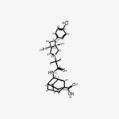 CC(C)(C(=S)NC1C2CC3CC1CC(C(=O)O)(C3)C2)N1C[C@@H]2C[C@@H](c3ccc(Cl)cc3)[C@@H]2C1